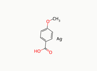 COc1ccc(C(=O)O)cc1.[Ag]